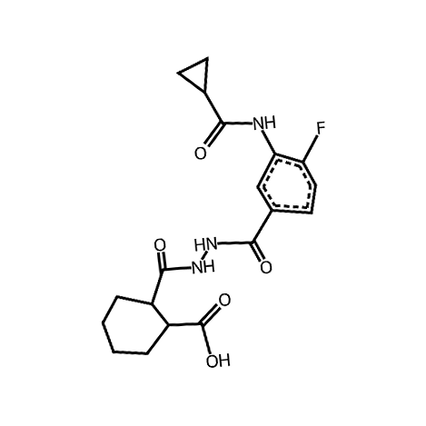 O=C(NNC(=O)C1CCCCC1C(=O)O)c1ccc(F)c(NC(=O)C2CC2)c1